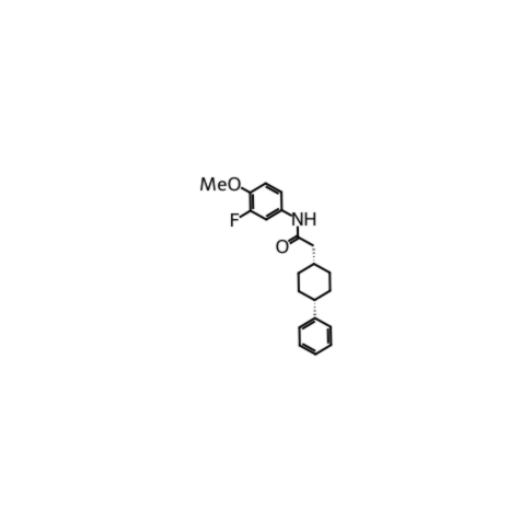 COc1ccc(NC(=O)C[C@H]2CC[C@@H](c3ccccc3)CC2)cc1F